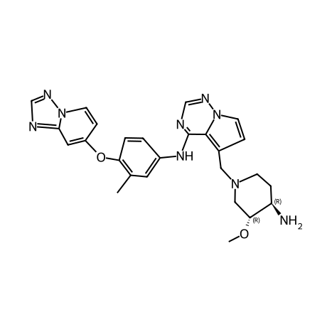 CO[C@@H]1CN(Cc2ccn3ncnc(Nc4ccc(Oc5ccn6ncnc6c5)c(C)c4)c23)CC[C@H]1N